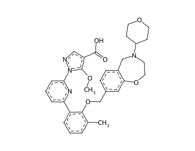 COc1c(C(=O)O)cnn1-c1cccc(-c2cccc(C)c2OCc2ccc3c(c2)OCCN(C2CCOCC2)C3)n1